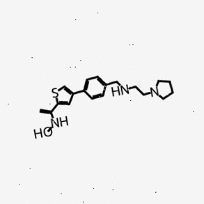 C=C(NO)c1cc(-c2ccc(CNCCN3CCCC3)cc2)cs1